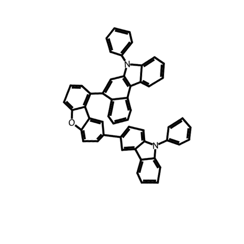 c1ccc(-n2c3ccccc3c3cc(-c4ccc5oc6cccc(-c7cc8c(c9ccccc79)c7ccccc7n8-c7ccccc7)c6c5c4)ccc32)cc1